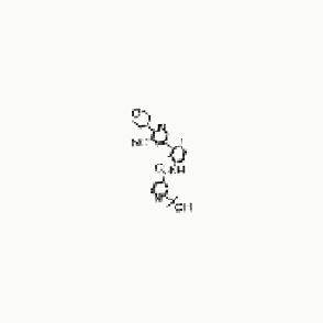 Cc1ccc(NC(=O)c2ccnc(C(C)(C)O)c2)cc1-c1cnc(C2CCOCC2)c(C#N)c1